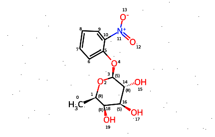 C[C@H]1O[C@@H](Oc2ccccc2[N+](=O)[O-])[C@H](O)[C@@H](O)[C@H]1O